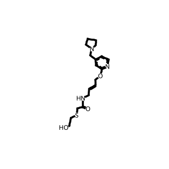 O=C(CSCCO)NCC=CCOc1cc(CN2CCCC2)ccn1